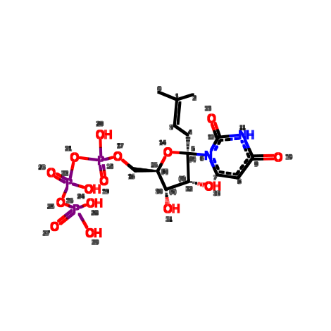 CC(C)=CC[C@@]1(n2ccc(=O)[nH]c2=O)O[C@H](COP(=O)(O)OP(=O)(O)OP(=O)(O)O)[C@@H](O)[C@H]1O